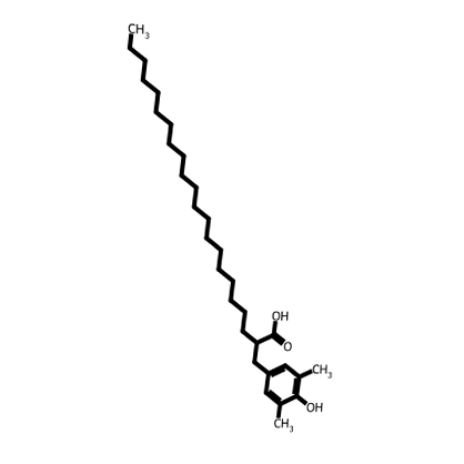 CCCCCCCCCCCCCCCCCCCCC(Cc1cc(C)c(O)c(C)c1)C(=O)O